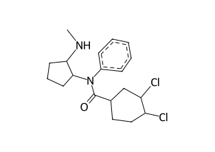 CNC1CCCC1N(C(=O)C1CCC(Cl)C(Cl)C1)c1ccccc1